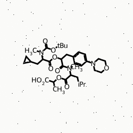 CC(C)CC(C(=O)OC(C)C(=O)O)N(C)C(=O)C(Cc1ccc(N2CCOCC2)cc1)OC(=O)C(CC1CC1)N(C)C(=O)OC(C)(C)C